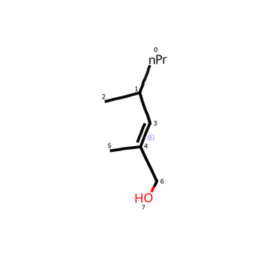 CCCC(C)/C=C(\C)CO